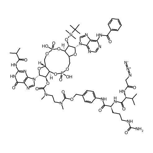 CC(C)C(=O)Nc1nc2c(ncn2[C@@H]2O[C@@H]3COP(=O)(O)O[C@@H]4C(COP(=O)(O)O[C@H]3[C@H]2OC(=O)N(C)CCN(C)C(=O)OCc2ccc(NC(=O)[C@H](CCCNC(N)=O)NC(=O)[C@@H](NC(=O)CN=[N+]=[N-])C(C)C)cc2)O[C@@H](n2cnc3c(NC(=O)c5ccccc5)ncnc32)[C@@H]4O[Si](C)(C)C(C)(C)C)c(=O)[nH]1